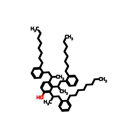 CCCCCCCCc1ccccc1CC(C)c1ccc(O)c(C(C)Cc2ccccc2CCCCCCCC)c1C(C)Cc1ccccc1CCCCCCCC